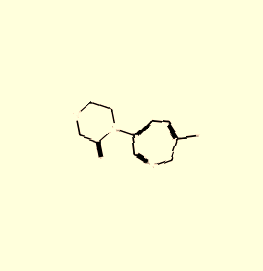 O=C1CNCCN1C1=CC=C(I)CN=C1